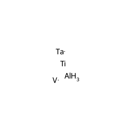 [AlH3].[Ta].[Ti].[V]